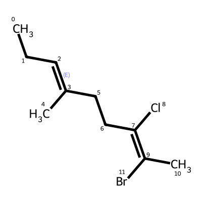 CC/C=C(\C)CCC(Cl)=C(C)Br